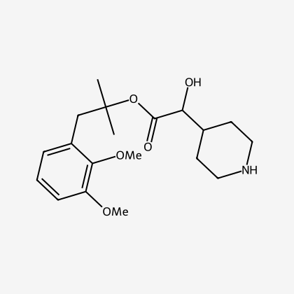 COc1cccc(CC(C)(C)OC(=O)C(O)C2CCNCC2)c1OC